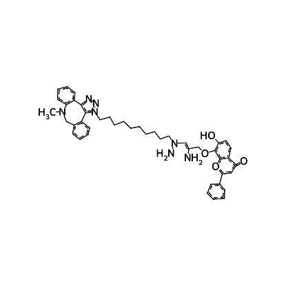 CN1Cc2ccccc2-c2c(nnn2CCCCCCCCCCN(N)/C=C(\N)COc2c(O)ccc3c(=O)cc(-c4ccccc4)oc23)-c2ccccc21